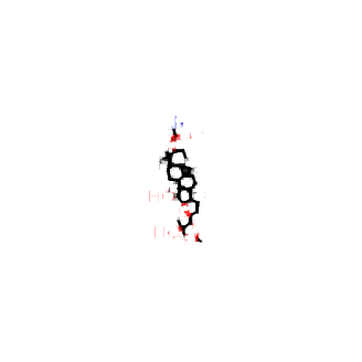 CC(=O)O[C@@H](C1C[C@@H](C)C2C(O1)[C@H](O)[C@@]1(C)[C@@H]3CC[C@H]4C(C)(C)[C@@H](OC(=O)CN)CC[C@@]45CC35CC[C@]21C)C(C)(C)O